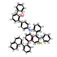 c1ccc(-c2cccc3ccccc23)c(-c2ccc(N(c3ccc(-c4cccc5c4oc4ccccc45)cc3)c3ccccc3-c3cccc4sc5ccccc5c34)cc2)c1